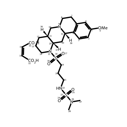 COc1ccc2c(c1)CCN1C[C@H]3CCCN(S(=O)(=O)CCCNS(=O)(=O)N(C)C)[C@H]3C[C@@H]21.O=C(O)/C=C\C(=O)O